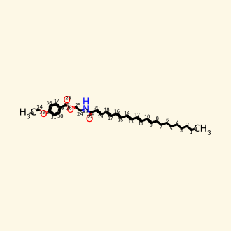 CCCCCCCCCC=CC=CC=CC=CC=CC=CC(=O)NCCOC(=O)c1ccc(OCC)cc1